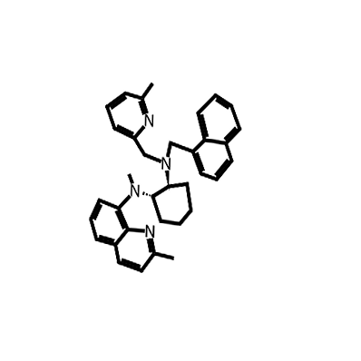 Cc1cccc(CN(Cc2cccc3ccccc23)[C@H]2CCCC[C@@H]2N(C)c2cccc3ccc(C)nc23)n1